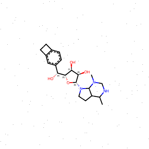 CC1NCN(C)C2C1CCN2[C@@H]1O[C@H]([C@H](O)c2ccc3c(c2)CC3)[C@@H](O)[C@H]1O